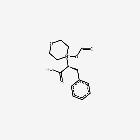 O=CO[N+]1([C@@H](Cc2ccccc2)C(=O)O)CCOCC1